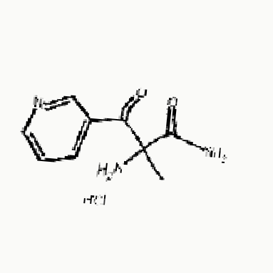 CC(N)(C(N)=O)C(=O)c1cccnc1.Cl